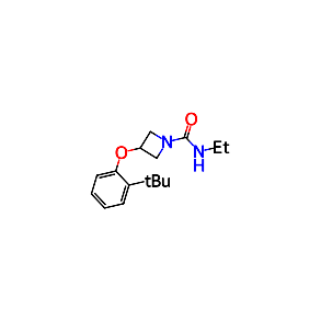 CCNC(=O)N1CC(Oc2ccccc2C(C)(C)C)C1